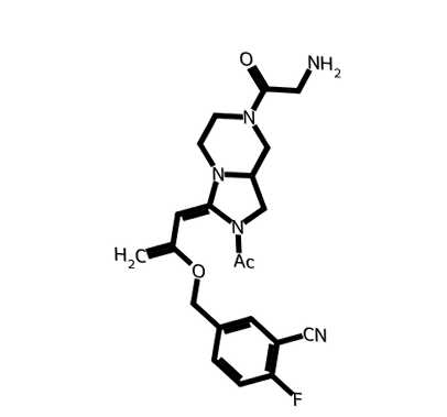 C=C(/C=C1\N(C(C)=O)CC2CN(C(=O)CN)CCN12)OCc1ccc(F)c(C#N)c1